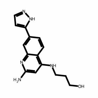 Nc1cc(NCCCO)c2ccc(-c3ccn[nH]3)cc2n1